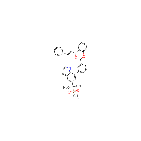 CC(C)(c1cc(-c2cccc(COc3ccccc3C(=O)C=Cc3ccccc3)c2)c2ncccc2c1)S(C)(=O)=O